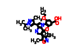 CCOc1cc(C(=O)O)cc(OCC)c1-n1cc(-c2cn(C(C)C)nc2C)c2ncc(-c3c(C)noc3C)cc21